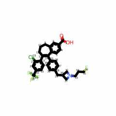 O=C(O)c1ccc2c(c1)CCCC(c1ccc(C(F)(F)F)cc1Cl)=C2c1ccc(CC2CN(CCCF)C2)cc1